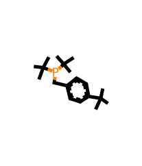 CC(C)(C)c1ccc(CP(C(C)(C)C)C(C)(C)C)cc1